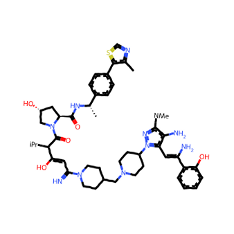 CNc1nn(C2CCN(CC3CCN(C(=N)/C=C(\O)C(C(=O)N4C[C@H](O)C[C@H]4C(=O)N[C@@H](C)c4ccc(-c5scnc5C)cc4)C(C)C)CC3)CC2)c(/C=C(\N)c2ccccc2O)c1N